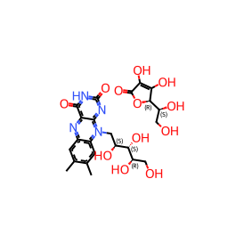 Cc1cc2nc3c(=O)[nH]c(=O)nc-3n(C[C@H](O)[C@H](O)[C@H](O)CO)c2cc1C.O=C1O[C@H]([C@@H](O)CO)C(O)=C1O